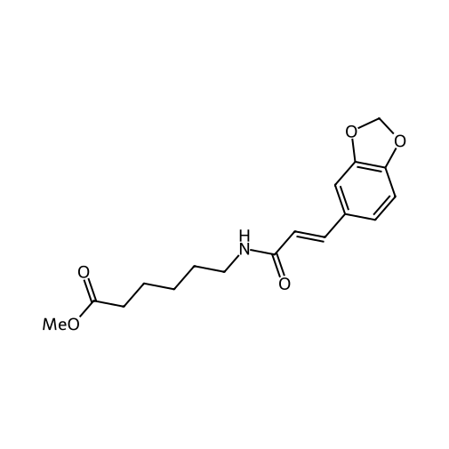 COC(=O)CCCCCNC(=O)C=Cc1ccc2c(c1)OCO2